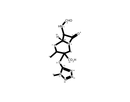 CC1S[C@@H]2C(NC=O)C(=O)N2CC1(Sc1nnnn1C)C(=O)O